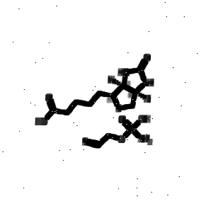 NP(=O)(O)OCC=S.O=C(O)CCCC[C@@H]1SC[C@@H]2NC(=O)N[C@@H]21